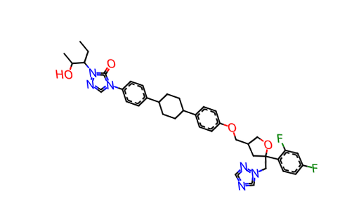 CCC(C(C)O)n1ncn(-c2ccc(C3CCC(c4ccc(OCC5COC(Cn6cncn6)(c6ccc(F)cc6F)C5)cc4)CC3)cc2)c1=O